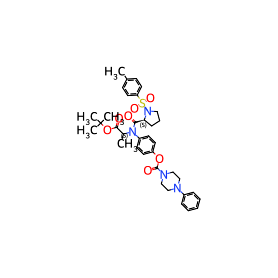 Cc1ccc(S(=O)(=O)N2CCC[C@H]2C(=O)N(c2ccc(OC(=O)N3CCN(c4ccccc4)CC3)cc2)[C@@H](C)C(=O)OC(C)(C)C)cc1